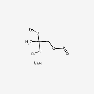 CCOC(C)(COP=O)OCC.[NaH]